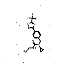 CCNC(=O)N(Cc1ccc(-c2noc(C(F)(F)F)n2)cc1)C1CC1